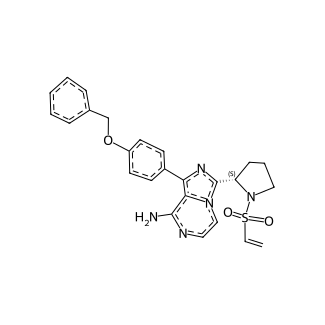 C=CS(=O)(=O)N1CCC[C@H]1c1nc(-c2ccc(OCc3ccccc3)cc2)c2c(N)nccn12